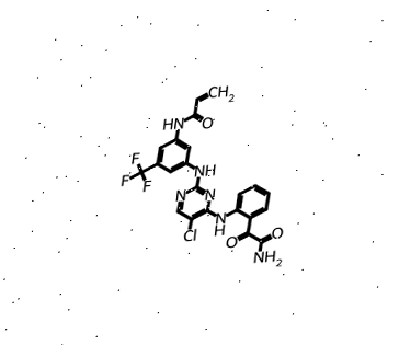 C=CC(=O)Nc1cc(Nc2ncc(Cl)c(Nc3ccccc3C(=O)C(N)=O)n2)cc(C(F)(F)F)c1